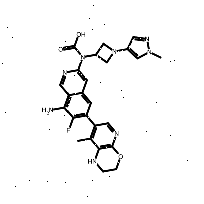 Cc1c(-c2cc3cc(N(C(=O)O)C4CN(c5cnn(C)c5)C4)ncc3c(N)c2F)cnc2c1NCCO2